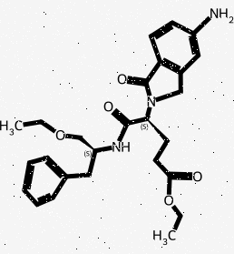 CCOC[C@H](Cc1ccccc1)NC(=O)[C@H](CCC(=O)OCC)N1Cc2cc(N)ccc2C1=O